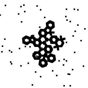 CC1(C)CCC(C)(C)c2cc(N3B4c5cccc6c5N(c5ccccc5C6(c5ccccc5)c5ccccc5)c5cc6c(sc7ccccc76)c(c54)-c4ccc5c(c43)C(C)(C)c3ccccc3-5)ccc21